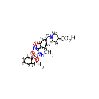 Cc1ccccc1S(=O)(=O)Nc1noc2cc(CN3CCC(C(=O)O)CC3)cc(C)c12